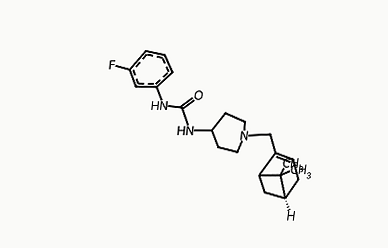 CC1(C)C2C[C@@H]1CC=C2CN1CCC(NC(=O)Nc2cccc(F)c2)CC1